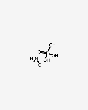 O=P(O)(O)O.[NH3+][O-]